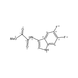 COC(=O)C(=O)Nc1c[nH]c2cc(F)c(F)cc12